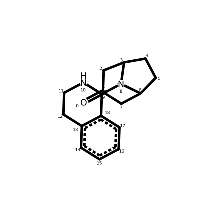 O=C1CC2CCC(C1)[N+]2C1NCCc2ccccc21